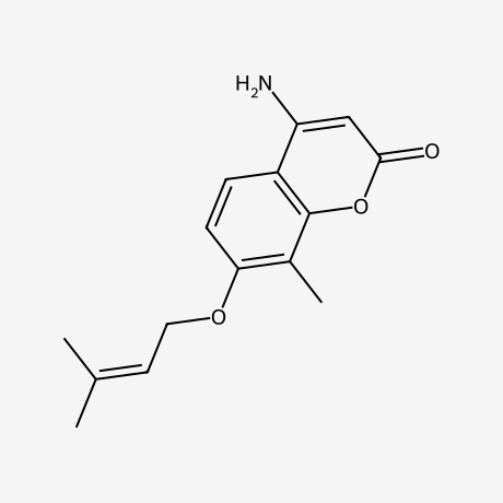 CC(C)=CCOc1ccc2c(N)cc(=O)oc2c1C